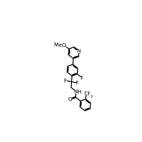 COc1cncc(-c2ccc(C(F)(F)CNC(=O)c3ccccc3C(F)(F)F)c(F)c2)c1